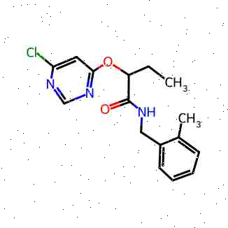 CCC(Oc1cc(Cl)ncn1)C(=O)NCc1ccccc1C